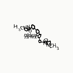 CCCCCCC1(CCCCCC)c2cc(-c3cccc(-c4nc5nc(C)ccc5o4)c3)ccc2-c2ccc(-c3cccc(-c4nc5nc(C)ccc5o4)c3)cc21